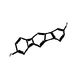 Fc1ccc2c(c1)c1cc3c4ccc(F)cc4c3cc21